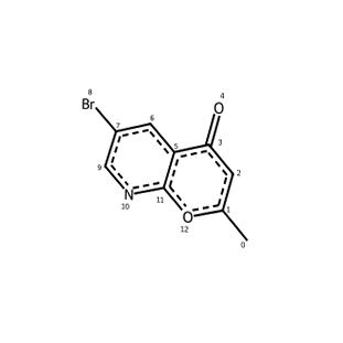 Cc1cc(=O)c2cc(Br)cnc2o1